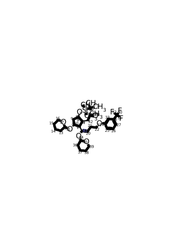 CC(C)(C)[Si](C)(C)O[C@@H]1C[C@H](OC2CCCCO2)[C@H](/C(=C\CCOc2cccc(C(F)(F)F)c2)OC2CCCCO2)[C@@H]1CC=O